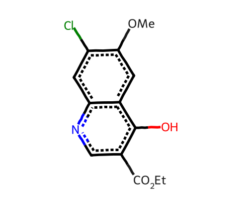 CCOC(=O)c1cnc2cc(Cl)c(OC)cc2c1O